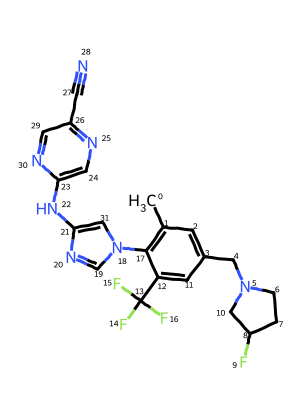 Cc1cc(CN2CCC(F)C2)cc(C(F)(F)F)c1-n1cnc(Nc2cnc(C#N)cn2)c1